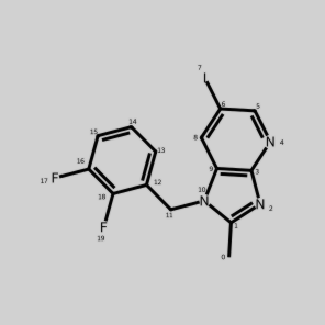 Cc1nc2ncc(I)cc2n1Cc1cccc(F)c1F